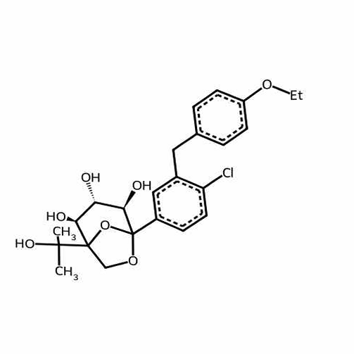 CCOc1ccc(Cc2cc(C34OCC(C(C)(C)O)(O3)[C@@H](O)[C@H](O)[C@H]4O)ccc2Cl)cc1